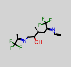 C=C/N=C(\C[C@H](C)C(O)C/N=C(\C)C(F)(F)F)C(F)(F)F